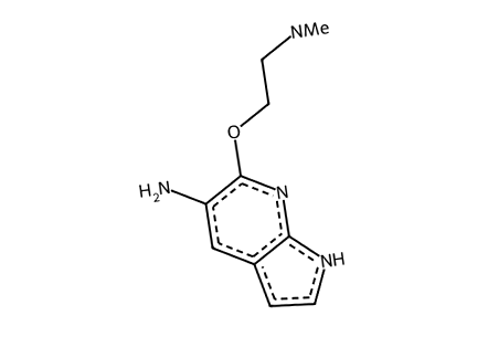 CNCCOc1nc2[nH]ccc2cc1N